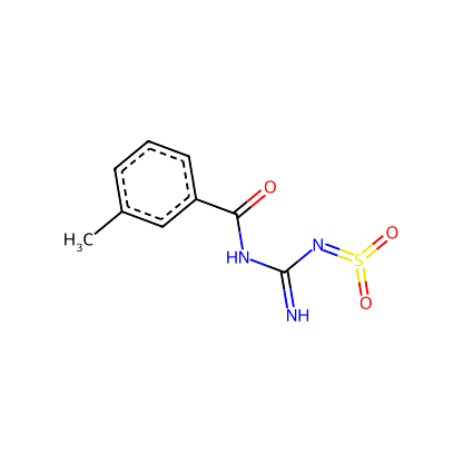 Cc1cccc(C(=O)NC(=N)N=S(=O)=O)c1